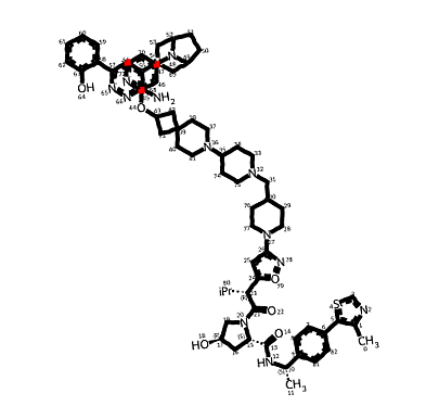 Cc1ncsc1-c1ccc([C@H](C)NC(=O)[C@@H]2C[C@@H](O)CN2C(=O)[C@@H](c2cc(N3CCC(CN4CCC(N5CCC6(CC5)CC(Oc5cc(N7C8CCC7CN(c7cc(-c9ccccc9O)nnc7N)C8)ccn5)C6)CC4)CC3)no2)C(C)C)cc1